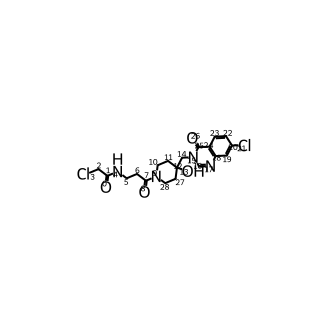 O=C(CCl)NCCC(=O)N1CCC(O)(Cn2cnc3cc(Cl)ccc3c2=O)CC1